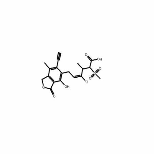 C#Cc1c(C)c2c(c(O)c1C/C=C(/Cl)C(C)C(C(=O)O)S(C)(=O)=O)C(=O)OC2